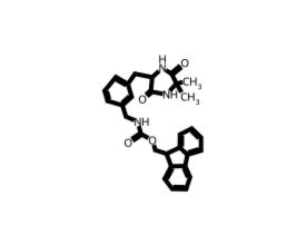 CC1(C)NC(=O)C(Cc2cccc(CNC(=O)OCC3c4ccccc4-c4ccccc43)c2)NC1=O